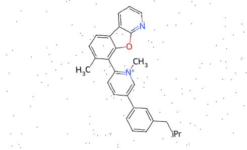 Cc1ccc2c(oc3ncccc32)c1-c1ccc(-c2cccc(CC(C)C)c2)c[n+]1C